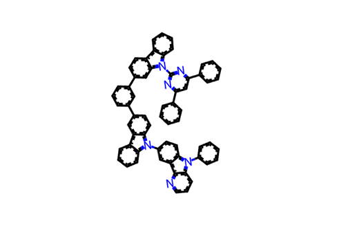 c1ccc(-c2cc(-c3ccccc3)nc(-n3c4ccccc4c4ccc(-c5cccc(-c6ccc7c(c6)c6ccccc6n7-c6ccc7c(c6)c6ncccc6n7-c6ccccc6)c5)cc43)n2)cc1